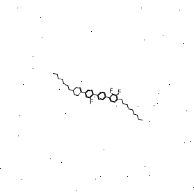 CCCCCCCCCc1ccc(-c2ccc(-c3ccc(C4=CCC(CCCCCCC)CC4)cc3F)cc2)c(F)c1F